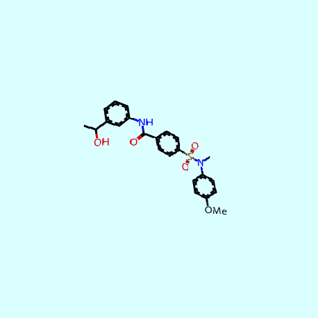 COc1ccc(N(C)S(=O)(=O)c2ccc(C(=O)Nc3cccc(C(C)O)c3)cc2)cc1